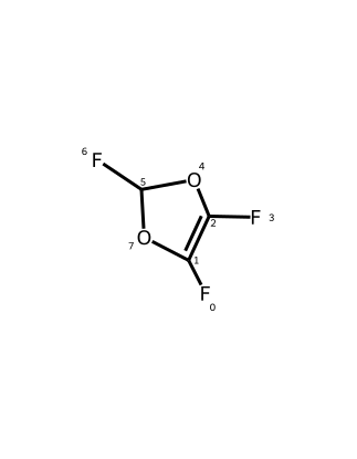 FC1=C(F)OC(F)O1